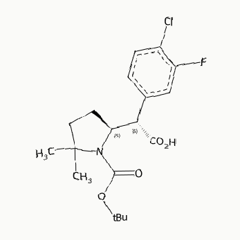 CC(C)(C)OC(=O)N1[C@H]([C@@H](C(=O)O)c2ccc(Cl)c(F)c2)CCC1(C)C